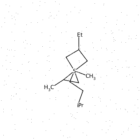 CCC1CS2(C)(CCC(C)C)(C1)CC2C